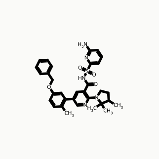 Cc1ccc(OCc2ccccc2)cc1-c1cnc(N2CCC(C)C2(C)C)c(C(=O)NS(=O)(=O)c2cccc(N)n2)c1